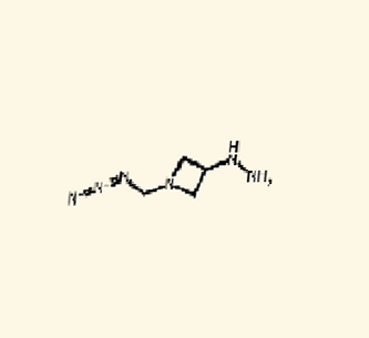 [N-]=[N+]=NCN1CC(NN)C1